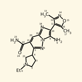 CCN1CCC(c2nn3c(N)c(-c4c(C)noc4C)nc3cc2C(N)=O)C1